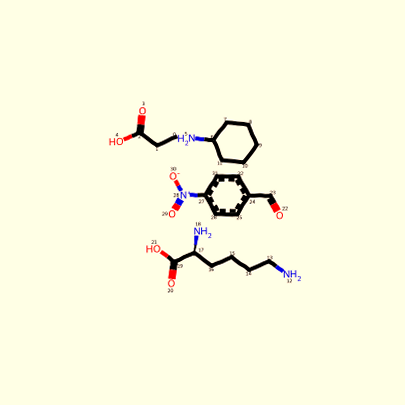 CCC(=O)O.NC1CCCCC1.NCCCC[C@H](N)C(=O)O.O=Cc1ccc([N+](=O)[O-])cc1